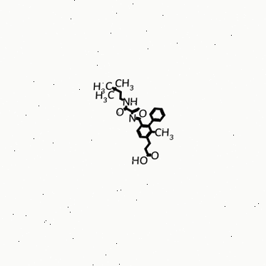 Cc1c(CCC(=O)O)ccc(-c2nc(C(=O)NCCC(C)(C)C)co2)c1-c1ccccc1